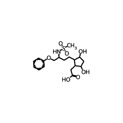 CS(=O)(=O)NC(CCC1C(O)CC(O)C1CC(=O)O)COc1ccccc1